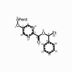 CCCCCOc1cnc(C(=O)OC(CC)c2ccccc2)nc1